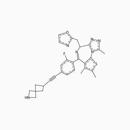 Cc1sc2c(c1C)C(c1ccc(C#CC3CC4(CNC4)C3)cc1F)=NC(Cc1ncco1)c1nnc(C)n1-2